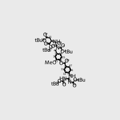 COc1cc(CN(C(=O)OC(C)(C)C)S(=O)(=O)NC(CC(=O)OC(C)(C)C)C(=O)OC(C)(C)C)ccc1OC(=O)c1ccc(NC(=NC(=O)OC(C)(C)C)NC(=O)OC(C)(C)C)cc1